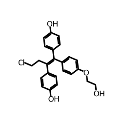 OCCOc1ccc(C(=C(CCCl)c2ccc(O)cc2)c2ccc(O)cc2)cc1